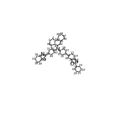 c1ccc2c(c#1)c(N(c1ccc(-c3ccc4nc(-c5ccccc5)oc4c3)cc1)c1ccc(-c3nc4ccccc4s3)cc1)cc1ccccc12